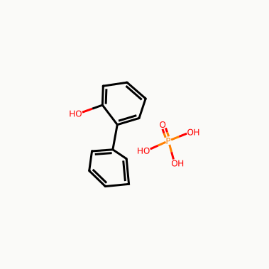 O=P(O)(O)O.Oc1ccccc1-c1ccccc1